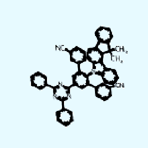 CC1(C)c2ccccc2-c2ccc3c(c21)c1ccccc1n3-c1c(-c2cccc(C#N)c2)cc(-c2nc(-c3ccccc3)nc(-c3ccccc3)n2)cc1-c1cccc(C#N)c1